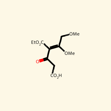 CCOC(=O)C(C(=O)CC(=O)O)=C(COC)OC